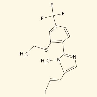 CCSc1cc(C(F)(F)F)ccc1-c1ncc(C=CI)n1C